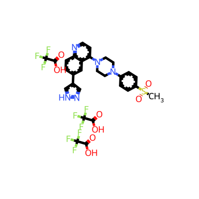 CS(=O)(=O)c1ccc(N2CCN(c3ccnc4ccc(-c5cn[nH]c5)cc34)CC2)cc1.O=C(O)C(F)(F)F.O=C(O)C(F)(F)F.O=C(O)C(F)(F)F